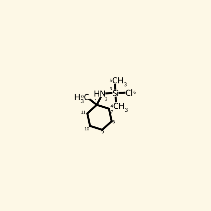 CC1(N[Si](C)(C)Cl)CCCCC1